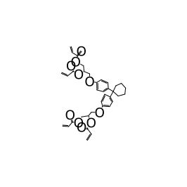 C=CC(=O)OCC(COc1ccc(C2(c3ccc(OCC(COC(=O)C=C)OC(=O)C=C)cc3)CCCCC2)cc1)OC(=O)C=C